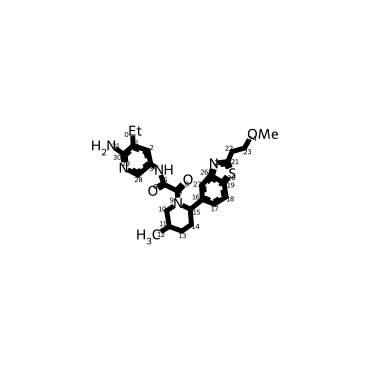 CCc1cc(NC(=O)C(=O)N2CC(C)CCC2c2ccc3sc(CCOC)nc3c2)cnc1N